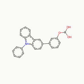 OB(O)Oc1cccc(-c2ccc3c(c2)c2ccccc2n3-c2ccccc2)c1